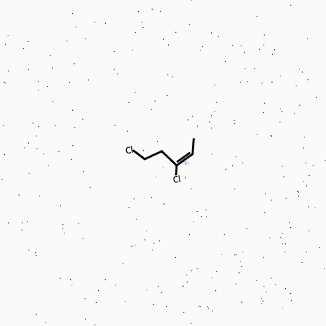 C/C=C(/Cl)CCCl